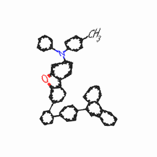 Cc1ccc(N(c2ccccc2)c2ccc3c(c2)oc2cc(-c4ccccc4-c4ccc(-c5cc6ccccc6c6ccccc56)cc4)ccc23)cc1